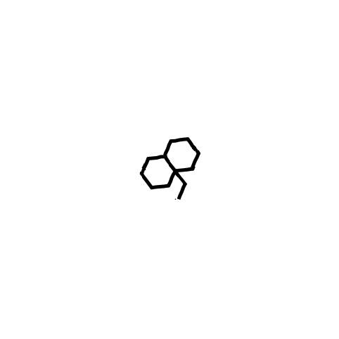 [CH2]CC12CCCCC1CCCC2